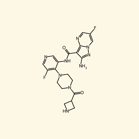 Nc1nn2cc(F)cnc2c1C(=O)Nc1cncc(F)c1N1CCN(C(=O)C2CNC2)CC1